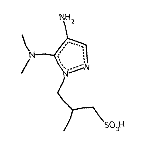 CC(Cn1ncc(N)c1N(C)C)CS(=O)(=O)O